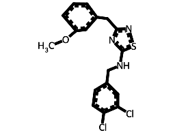 COc1cccc(Cc2nsc(NCc3ccc(Cl)c(Cl)c3)n2)c1